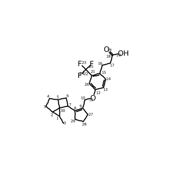 CC1C2CCC3CC(C4=C(COc5ccc(CCC(=O)O)c(C(F)(F)F)c5)CCC4)C312